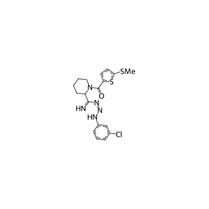 CSc1ccc(C(=O)N2CCCCC2C(=N)/N=N\Nc2cccc(Cl)c2)s1